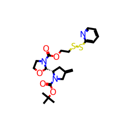 C=C1C[C@@H](C2OCCN2C(=O)OCCSSc2ccccn2)N(C(=O)OC(C)(C)C)C1